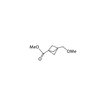 COCC12CC(C(=O)OC)(C1)C2